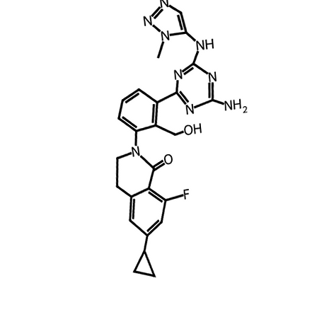 Cn1nncc1Nc1nc(N)nc(-c2cccc(N3CCc4cc(C5CC5)cc(F)c4C3=O)c2CO)n1